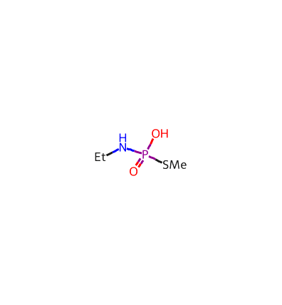 CCNP(=O)(O)SC